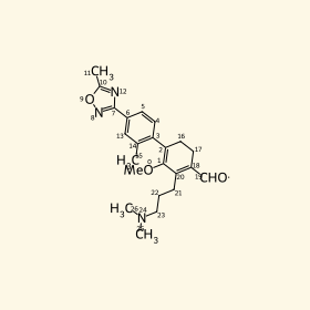 COC1=C(c2ccc(-c3noc(C)n3)cc2C)CCC([C]=O)=C1CCCN(C)C